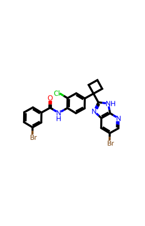 O=C(Nc1ccc(C2(c3nc4cc(Br)cnc4[nH]3)CCC2)cc1Cl)c1cccc(Br)c1